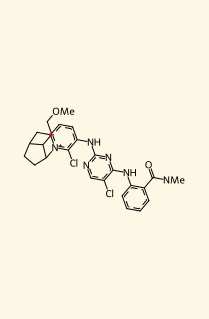 CNC(=O)c1ccccc1Nc1nc(Nc2ccc3[n+](c2Cl)C2CCC(C3)C2CCOC)ncc1Cl